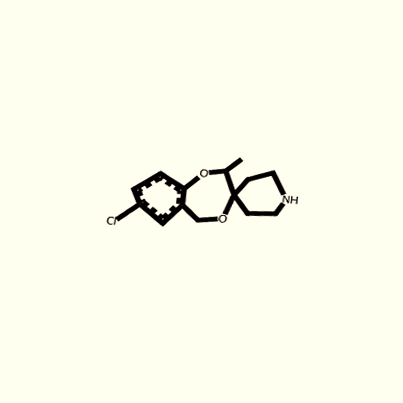 CC1Oc2ccc(Cl)cc2COC12CCNCC2